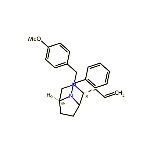 C=CC[C@@H]1C2CC[C@@H](CN1Cc1ccc(OC)cc1)N2Cc1ccccc1